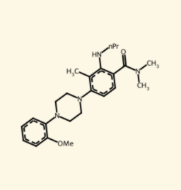 CCCNc1c(C(=O)N(C)C)ccc(N2CCN(c3ccccc3OC)CC2)c1C